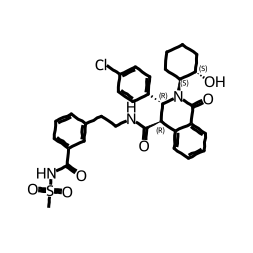 CS(=O)(=O)NC(=O)c1cccc(CCNC(=O)[C@@H]2c3ccccc3C(=O)N([C@H]3CCCC[C@@H]3O)[C@H]2c2ccc(Cl)cc2)c1